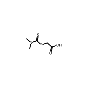 CN(C)C(=S)SCC(=O)O